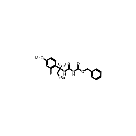 COc1ccc([C@@](CC(C)(C)C)(NC(=S)NC(=O)OCc2ccccc2)C(=O)O)c(F)c1